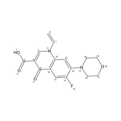 C=Cn1cc(C(=O)O)c(=O)c2cc(F)c(N3CCOCC3)cc21